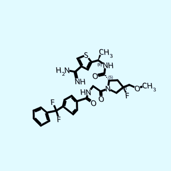 COC[C@@]1(F)C[C@@H](C(=O)N[C@H](C)c2cc(C(=N)N)cs2)N(C(=O)CNC(=O)c2ccc(C(F)(F)c3ccccc3)cc2)C1